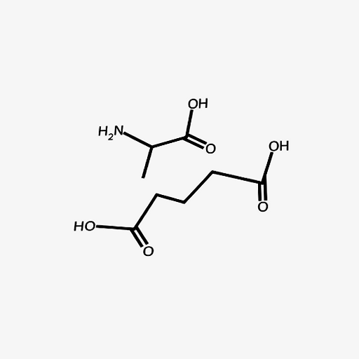 CC(N)C(=O)O.O=C(O)CCCC(=O)O